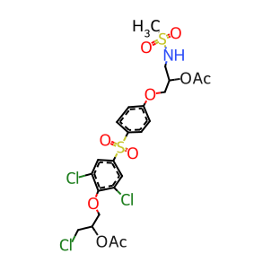 CC(=O)OC(CNS(C)(=O)=O)COc1ccc(S(=O)(=O)c2cc(Cl)c(OCC(CCl)OC(C)=O)c(Cl)c2)cc1